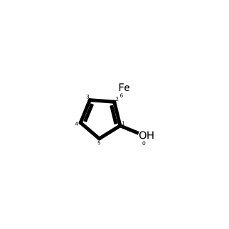 OC1=CC=CC1.[Fe]